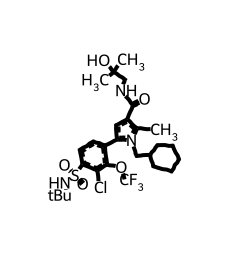 Cc1c(C(=O)NCC(C)(C)O)cc(-c2ccc(S(=O)(=O)NC(C)(C)C)c(Cl)c2OC(F)(F)F)n1CC1CCCCC1